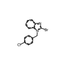 Clc1ccc(Cn2c(Br)nc3ccccc32)cc1